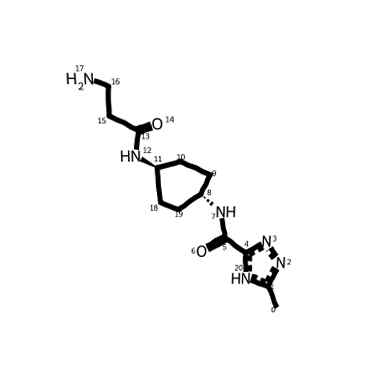 Cc1nnc(C(=O)N[C@H]2CC[C@H](NC(=O)CCN)CC2)[nH]1